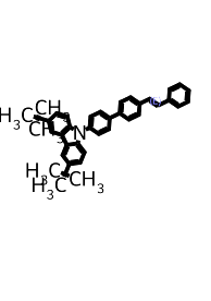 CC(C)(C)c1ccc2c(c1)c1cc(C(C)(C)C)ccc1n2-c1ccc(-c2ccc(/C=C/c3ccccc3)cc2)cc1